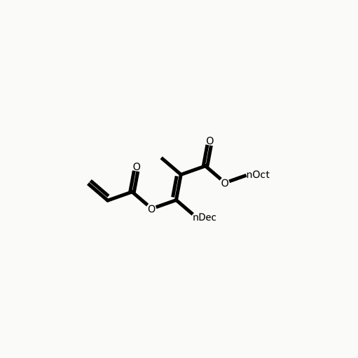 C=CC(=O)OC(CCCCCCCCCC)=C(C)C(=O)OCCCCCCCC